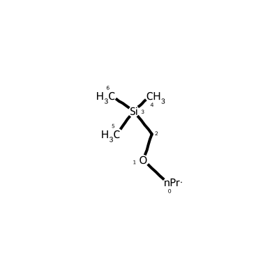 CC[CH]OC[Si](C)(C)C